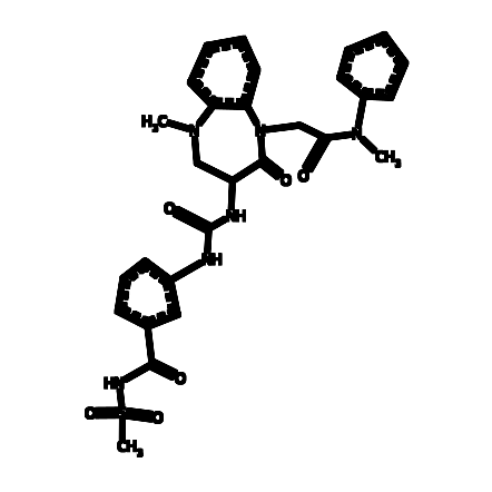 CN1CC(NC(=O)Nc2cccc(C(=O)NS(C)(=O)=O)c2)C(=O)N(CC(=O)N(C)c2ccccc2)c2ccccc21